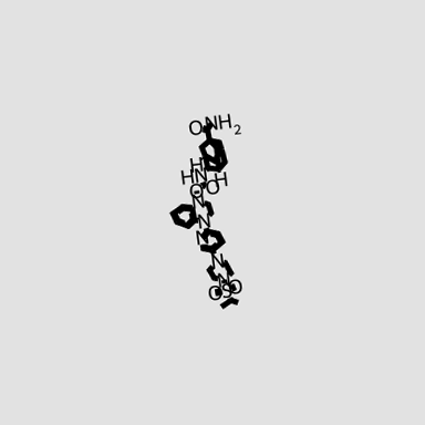 CC(C)S(=O)(=O)N1CCN(c2ccc(N3CCN(OC(=O)NC4[C@@H]5CC6C[C@H]4CC(C(N)=O)(C6)C5)c4ccccc43)nc2)CC1